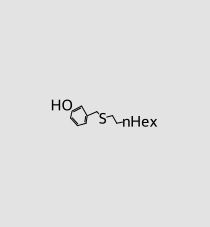 CCCCCCCCSCc1cccc(O)c1